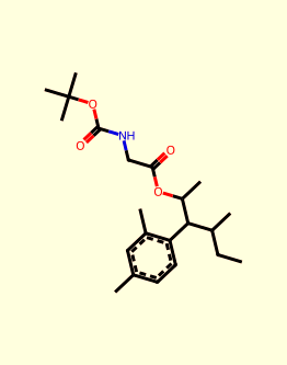 CCC(C)C(c1ccc(C)cc1C)C(C)OC(=O)CNC(=O)OC(C)(C)C